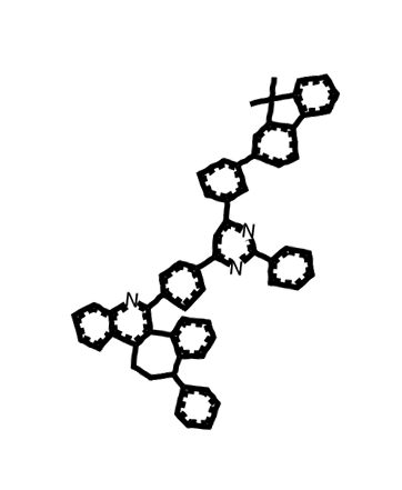 CC1(C)c2ccccc2-c2ccc(-c3cccc(-c4cc(-c5ccc(-c6nc7ccccc7c7c6-c6ccccc6C(c6ccccc6)CC7)cc5)nc(-c5ccccc5)n4)c3)cc21